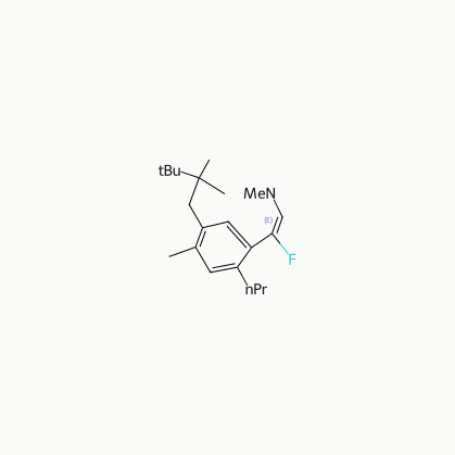 CCCc1cc(C)c(CC(C)(C)C(C)(C)C)cc1/C(F)=C\NC